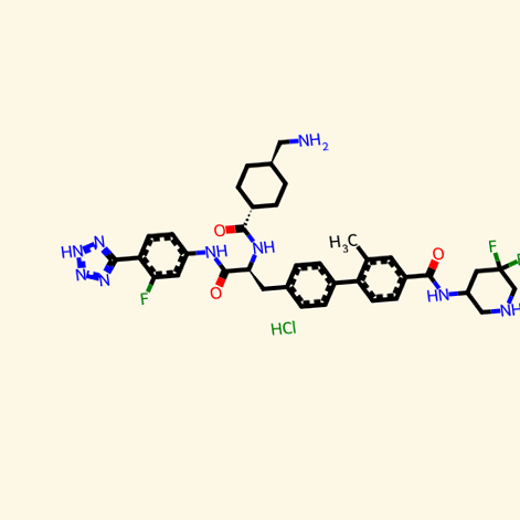 Cc1cc(C(=O)NC2CNCC(F)(F)C2)ccc1-c1ccc(C[C@H](NC(=O)[C@H]2CC[C@H](CN)CC2)C(=O)Nc2ccc(-c3nn[nH]n3)c(F)c2)cc1.Cl